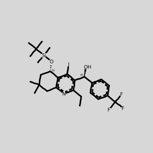 CCc1nc2c(c(I)c1[C@@H](O)c1ccc(C(F)(F)F)cc1)[C@@H](O[Si](C)(C)C(C)(C)C)CC(C)(C)C2